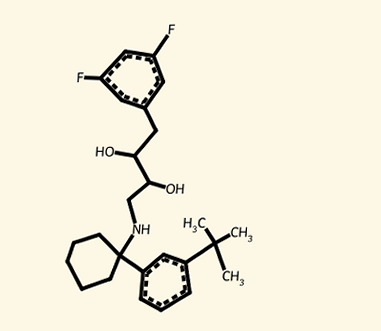 CC(C)(C)c1cccc(C2(NCC(O)C(O)Cc3cc(F)cc(F)c3)CCCCC2)c1